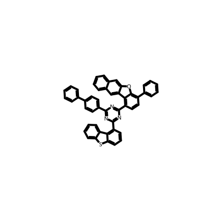 c1ccc(-c2ccc(-c3nc(-c4cccc5sc6ccccc6c45)nc(-c4ccc(-c5ccccc5)c5oc6cc7ccccc7cc6c45)n3)cc2)cc1